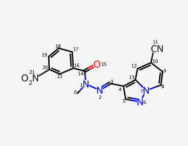 CN(N=Cc1cnn2ccc(C#N)cc12)C(=O)c1cccc([N+](=O)[O-])c1